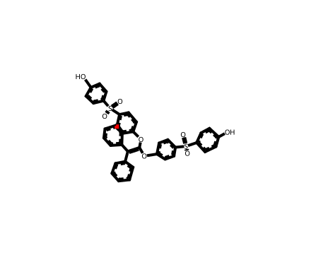 O=S(=O)(c1ccc(O)cc1)c1ccc(OC(Oc2ccc(S(=O)(=O)c3ccc(O)cc3)cc2)=C(c2ccccc2)c2ccccc2)cc1